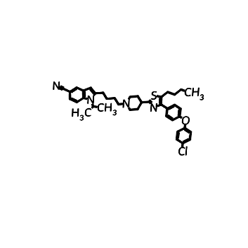 CCCCc1sc(C2CCN(CCCCc3cc4cc(C#N)ccc4n3C(C)C)CC2)nc1-c1ccc(Oc2ccc(Cl)cc2)cc1